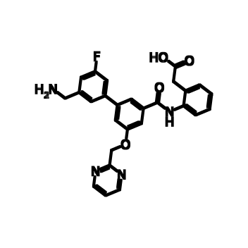 NCc1cc(F)cc(-c2cc(OCc3ncccn3)cc(C(=O)Nc3ccccc3CC(=O)O)c2)c1